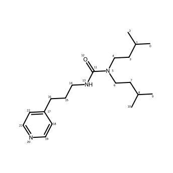 CC(C)CCN(CCC(C)C)C(=O)NCCCc1ccncc1